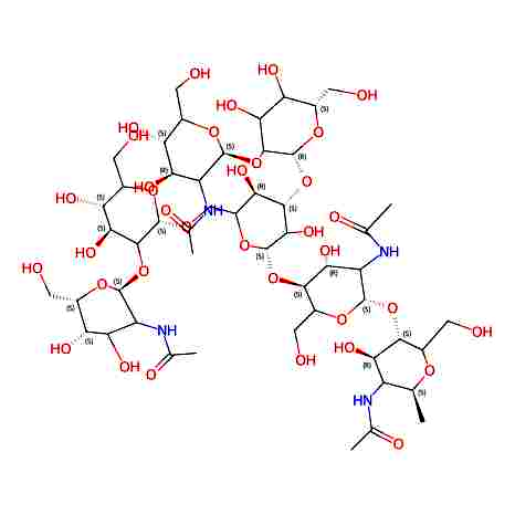 CC(=O)NC1C(O)[C@H](O)[C@H](CO)O[C@H]1OC1[C@@H](OCC2O[C@@H](O[C@@H]3C(CO)O[C@@H](O[C@@H]4C(CO)O[C@@H](C)C(NC(C)=O)[C@H]4O)C(NC(C)=O)[C@H]3O)C(O)[C@@H](O[C@H]3O[C@@H](CO)C(O)C(O)C3O[C@@H]3OC(CO)[C@@H](O)[C@H](O)C3NC(C)=O)[C@@H]2O)OC(CO)[C@@H](O)[C@@H]1O